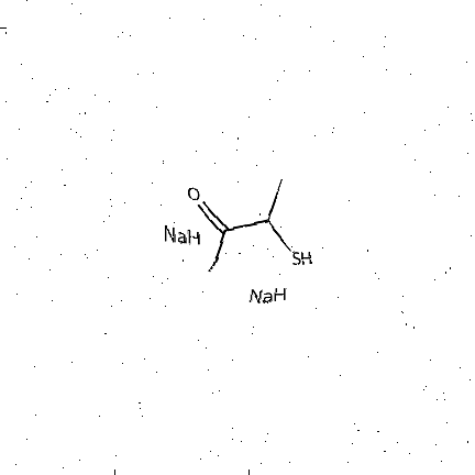 CC(=O)C(C)S.[NaH].[NaH]